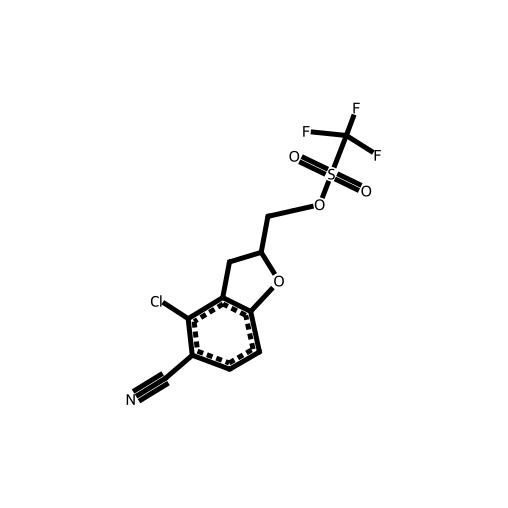 N#Cc1ccc2c(c1Cl)CC(COS(=O)(=O)C(F)(F)F)O2